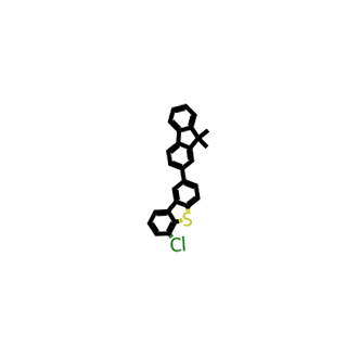 CC1(C)c2ccccc2-c2ccc(-c3ccc4sc5c(Cl)cccc5c4c3)cc21